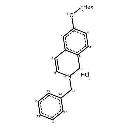 CCCCCCOc1ccc2c(c1)C=CN(Cc1ccccc1)C2.Cl